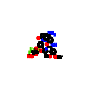 CCOc1cc([C@H](Nc2ccc3c(N)nccc3c2)C(=O)N2CCC[C@@H]2c2cc(NC(=O)OC)ccc2S(=O)(=O)CC)ccc1OC(C)C.O=C(O)C(F)(F)F